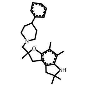 Cc1c(C)c2c(c3c1NC(C)(C)C3)CC(C)(CN1CCC(c3ccccc3)CC1)O2